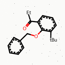 CCC(=O)c1cccc(C(C)(C)C)c1OCc1ccccc1